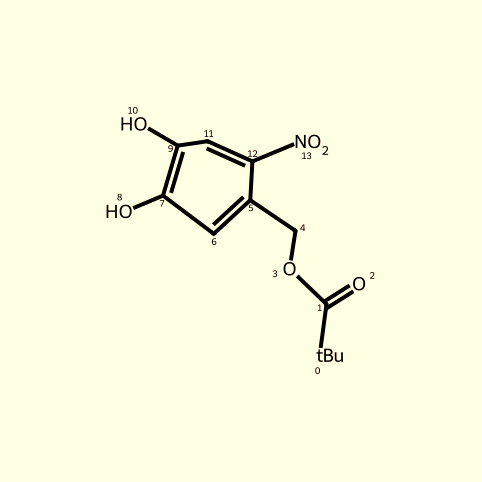 CC(C)(C)C(=O)OCc1cc(O)c(O)cc1[N+](=O)[O-]